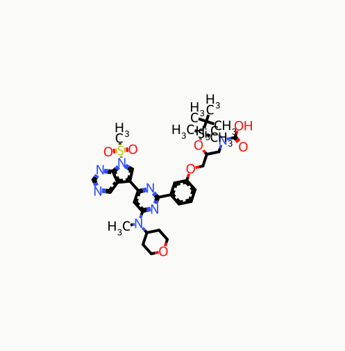 CN(CC(COc1cccc(-c2nc(-c3cn(S(C)(=O)=O)c4ncncc34)cc(N(C)C3CCOCC3)n2)c1)O[Si](C)(C)C(C)(C)C)C(=O)O